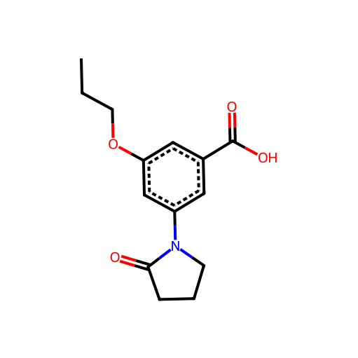 CCCOc1cc(C(=O)O)cc(N2CCCC2=O)c1